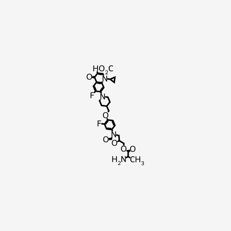 CC(N)C(=O)OCC1CN(c2ccc(OCC3CCN(c4cc5c(cc4F)c(=O)c(C(=O)O)cn5C4CC4)CC3)c(F)c2)C(=O)O1